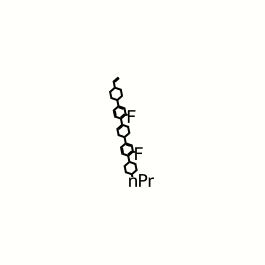 C=CC1CCC(c2ccc(C3=CCC(c4ccc(C5CCC(CCC)CC5)c(F)c4)CC3)c(F)c2)CC1